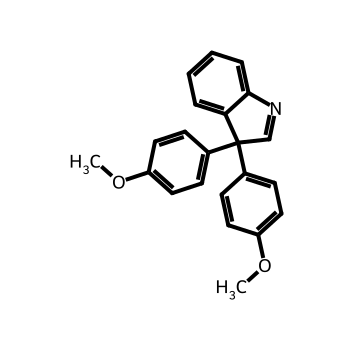 COc1ccc(C2(c3ccc(OC)cc3)C=Nc3ccccc32)cc1